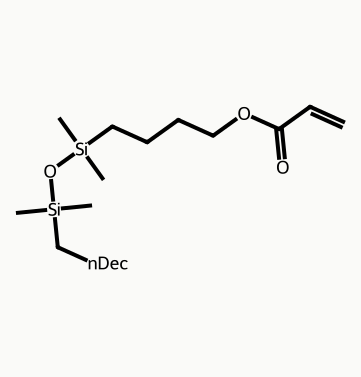 C=CC(=O)OCCCC[Si](C)(C)O[Si](C)(C)CCCCCCCCCCC